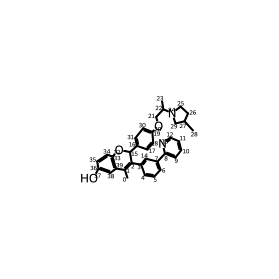 CC1=C(c2cccc(-c3ccccn3)c2)C(c2ccc(OCC(C)N3CCC(C)C3)cc2)Oc2ccc(O)cc21